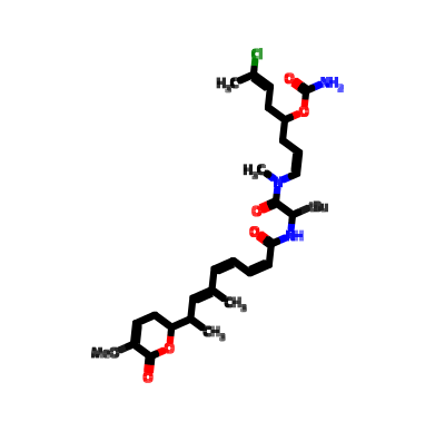 COC1=CCC(C(C)/C=C(C)/C=C\C=C/C(=O)NC(C(=O)N(C)/C=C\CC(C/C=C(\C)Cl)OC(N)=O)C(C)(C)C)OC1=O